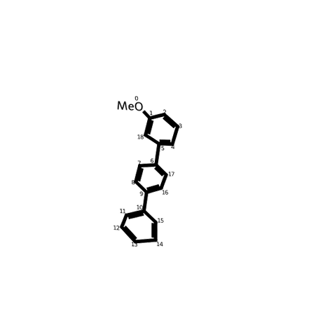 COc1cccc(-c2ccc(-c3ccccc3)cc2)c1